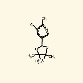 CC1(C)OB(c2cnc(C(F)(F)F)c(Cl)c2)OC1(C)C